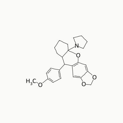 COc1ccc(C2c3cc4c(cc3OC3(N5CCCC5)CCCCC23)OCO4)cc1